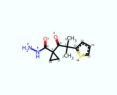 CC(C)(C(=O)C1(C(=O)NN)CC1)c1cccs1